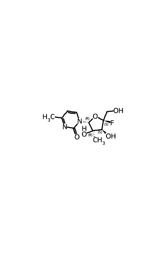 Cc1ccn([C@@H]2O[C@](F)(CO)[C@@H](O)[C@@]2(C)O)c(=O)n1